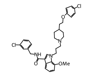 COc1cccc2c(C(=O)NCc3cccc(Cl)c3)cn(CCCN3CCC(CCOc4ccc(Cl)cc4)CC3)c12